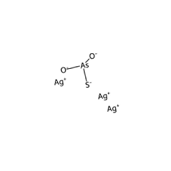 [Ag+].[Ag+].[Ag+].[O-][As]([O-])[S-]